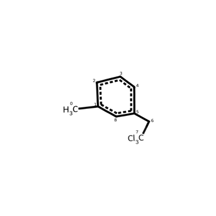 Cc1cccc(CC(Cl)(Cl)Cl)c1